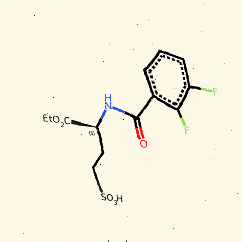 CCOC(=O)[C@H](CCS(=O)(=O)O)NC(=O)c1cccc(F)c1F